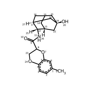 Cc1ccc2c(c1)OC(C(=O)N[C@H]1[C@@H]3CC4C[C@H]1C[C@](O)(C4)C3)CO2